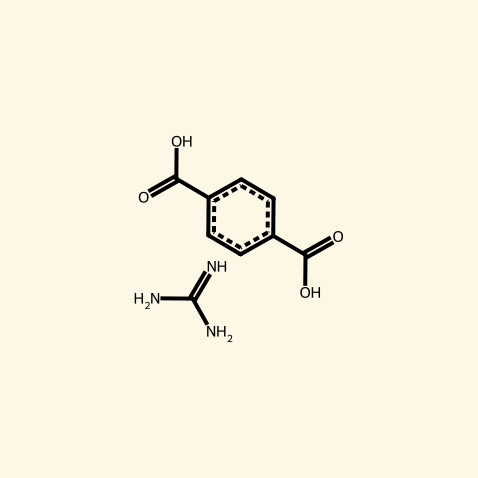 N=C(N)N.O=C(O)c1ccc(C(=O)O)cc1